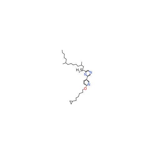 CCCCCC(C)CCCCCC(C)C[SiH2]c1cncc(-c2ccc(OCCCCCCC3CC3)nc2)n1